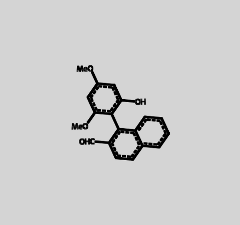 COc1cc(O)c(-c2c(C=O)ccc3ccccc23)c(OC)c1